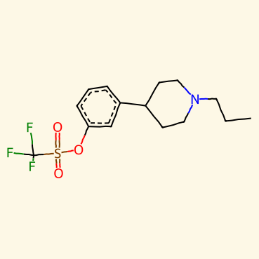 CCCN1CCC(c2cccc(OS(=O)(=O)C(F)(F)F)c2)CC1